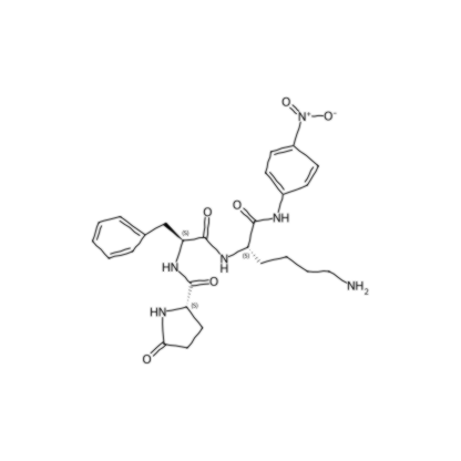 NCCCC[C@H](NC(=O)[C@H](Cc1ccccc1)NC(=O)[C@@H]1CCC(=O)N1)C(=O)Nc1ccc([N+](=O)[O-])cc1